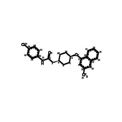 O=C(C[C@H]1CC[C@H](Oc2cc(C(F)(F)F)nc3ccccc23)CC1)Nc1ccc(Cl)cc1